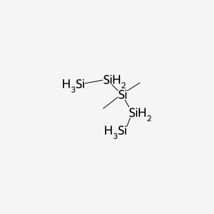 C[Si](C)([SiH2][SiH3])[SiH2][SiH3]